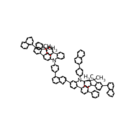 CC1(C)c2cc(-c3cccc4ccccc34)ccc2-c2ccc(N(c3ccc(-c4cccc5cc(-c6ccc(-c7ccc(-c8ccccc8)cc7)c(N(c7ccc(-c8ccc9ccccc9c8)cc7)c7ccc8c(c7)C(C)(C)c7cc(-c9cccc%10ccccc9%10)ccc7-8)c6)ccc45)cc3)c3ccccc3-c3ccc(-c4ccccc4)cc3)cc21